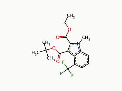 CCOC(=O)c1c(C(=O)OC(C)(C)C)c2c(C(F)(F)F)cccc2n1C